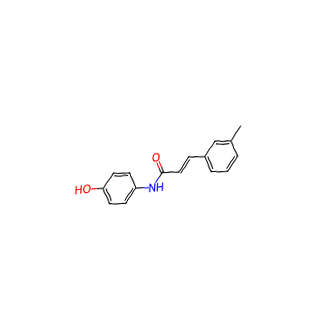 Cc1cccc(/C=C/C(=O)Nc2ccc(O)cc2)c1